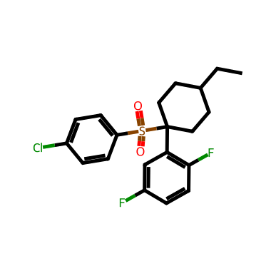 CCC1CCC(c2cc(F)ccc2F)(S(=O)(=O)c2ccc(Cl)cc2)CC1